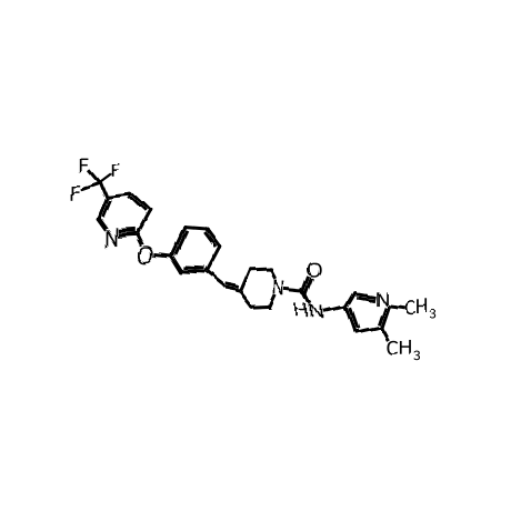 Cc1cc(NC(=O)N2CCC(=Cc3cccc(Oc4ccc(C(F)(F)F)cn4)c3)CC2)cnc1C